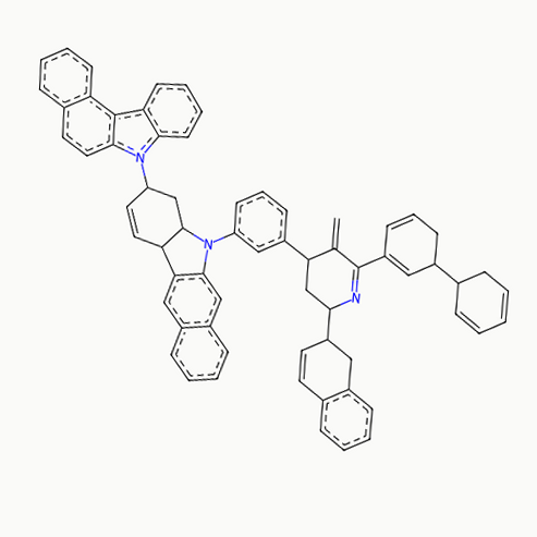 C=C1C(C2=CC(C3C=CC=CC3)CC=C2)=NC(C2C=Cc3ccccc3C2)CC1c1cccc(N2c3cc4ccccc4cc3C3C=CC(n4c5ccccc5c5c6ccccc6ccc54)CC32)c1